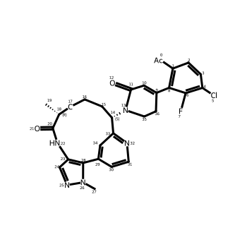 CC(=O)c1ccc(Cl)c(F)c1C1=CC(=O)N([C@H]2CCC[C@@H](C)C(=O)Nc3cnn(C)c3-c3ccnc2c3)CC1